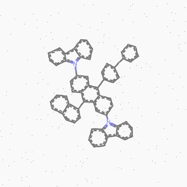 c1ccc(-c2ccc(-c3c4cc(-n5c6ccccc6c6ccccc65)ccc4c(-c4cccc5ccccc45)c4cc(-n5c6ccccc6c6ccccc65)ccc34)cc2)cc1